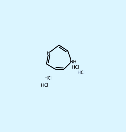 C1=CNC=CN=C1.Cl.Cl.Cl.Cl